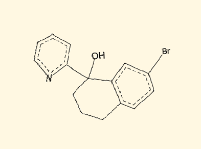 OC1(c2ccccn2)CCCc2ccc(Br)cc21